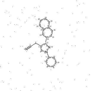 N#CCc1cn(-c2ccccc2)nc1-c1ccc2ccccc2c1